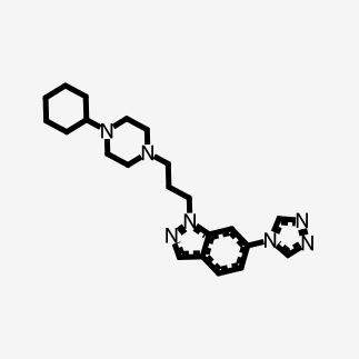 c1cc2cnn(CCCN3CCN(C4CCCCC4)CC3)c2cc1-n1cnnc1